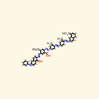 COc1cc(N=Nc2ccc(N=Nc3ccc(N=Nc4ccc5cccc(S(=O)(=O)O)c5c4)c(C)c3)c(C)c2)c(CO)cc1N=Nc1ccc2cc(Nc3ccccc3)ccc2c1O